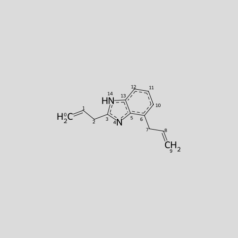 C=CCc1nc2c(CC=C)cccc2[nH]1